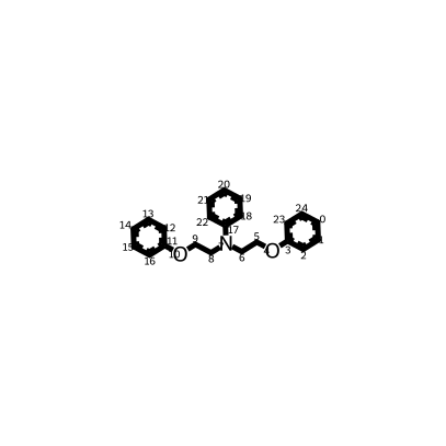 c1ccc(OCCN(CCOc2ccccc2)c2ccccc2)cc1